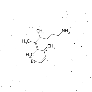 C=C(/C=C\CC)/C(C)=C(/C)C(C)CCCN